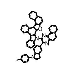 Cc1ccc(-n2ccc3cc(-c4nc5ccc6ccccc6c5nc4-n4c5ccccc5c5c6ccccc6c6c(oc7ccc8ccccc8c76)c54)ccc32)cc1